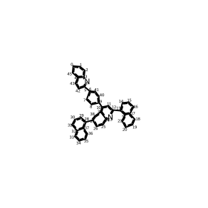 c1ccc2nc(-c3ccc(-c4cc(-c5cccc6ccccc56)nc5ccc(-c6cccc7ccccc67)cc45)cc3)ccc2c1